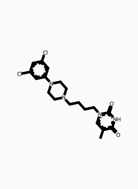 Cc1cn(CCCCN2CCN(c3cc(Cl)cc(Cl)c3)CC2)c(=O)[nH]c1=O